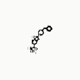 CNC(=O)c1ccc2[nH]c(N3CCC(Cc4ccccc4)CC3)cc2c1